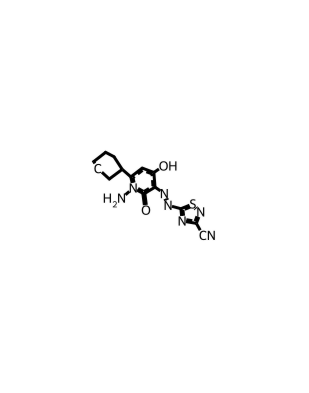 N#Cc1nsc(N=Nc2c(O)cc(C3CCCCC3)n(N)c2=O)n1